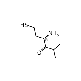 CC(C)C(=O)[C@H](N)CCS